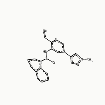 Cn1cc(-c2cnc(C=N)c(N[S+]([O-])c3cccc4ccccc34)c2)cn1